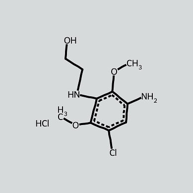 COc1c(N)cc(Cl)c(OC)c1NCCO.Cl